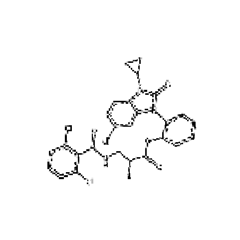 C[C@@H](CNC(=O)c1c(Cl)cccc1Cl)C(=O)Oc1ccccc1-n1c(=O)n(C2CC2)c2ccc(Cl)cc21